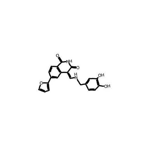 O=C1NC(=O)c2ccc(-c3ccco3)cc2C1=CNCc1ccc(O)c(O)c1